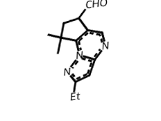 CCc1cc2ncc3c(n2n1)C(C)(C)CC3C=O